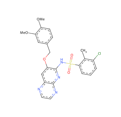 COc1ccc(COc2cc3nccnc3nc2NS(=O)(=O)c2cccc(Cl)c2C)cc1OC